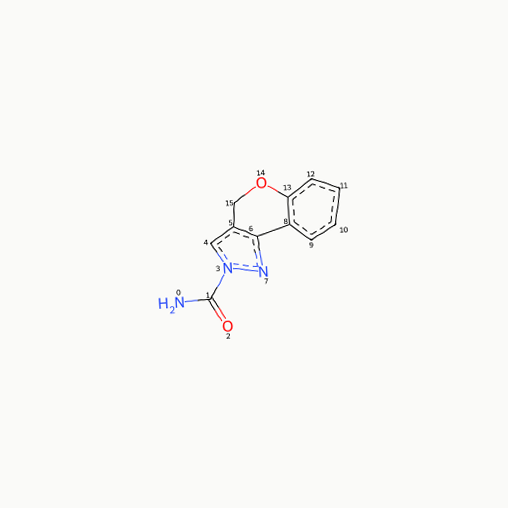 NC(=O)n1cc2c(n1)-c1ccccc1OC2